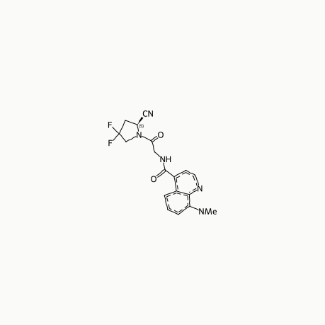 CNc1cccc2c(C(=O)NCC(=O)N3CC(F)(F)C[C@H]3C#N)ccnc12